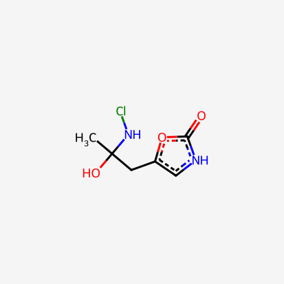 CC(O)(Cc1c[nH]c(=O)o1)NCl